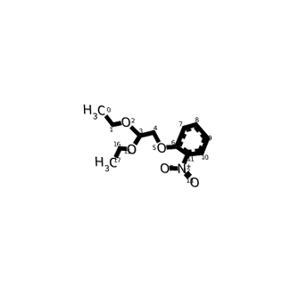 CCOC(COc1ccccc1[N+](=O)[O-])OCC